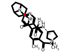 Cc1cc(C(=O)NC2CC3CCC(C2)N3c2ccc(C(=O)N[C@@H]3CCN(C)C3)cn2)c(C)cc1C(N)=O